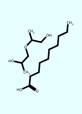 CC(O)COC(C)CO.CCCCCCCCCC(=O)O